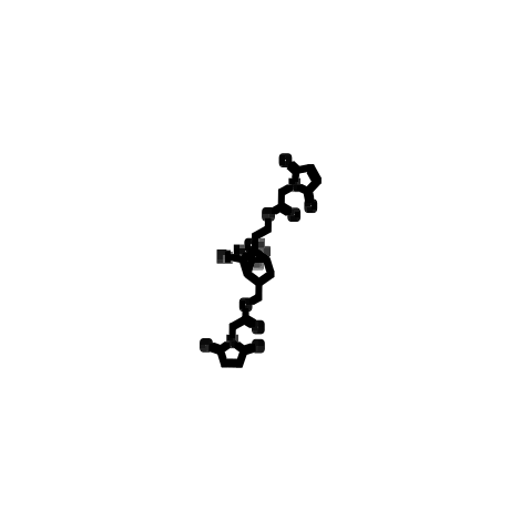 CCC1C(CCOC(=O)CN2C(=O)C=CC2=O)C2CC(COC(=O)CN3C(=O)C=CC3=O)C1[C@@H]2C